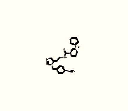 N#Cc1ccc(Cn2cncc2CCNC(=O)C2CCC[N+]([O-])(c3ccccc3)C2)cc1